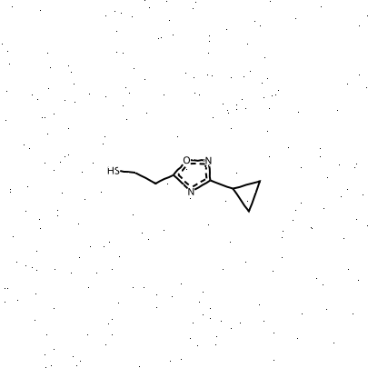 SCCc1nc(C2CC2)no1